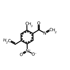 C=Cc1cc(C)c(C(=O)N=C)cc1[N+](=O)[O-]